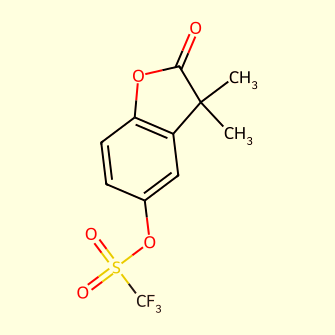 CC1(C)C(=O)Oc2ccc(OS(=O)(=O)C(F)(F)F)cc21